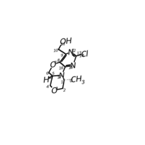 C[C@@H]1COC[C@@H]2COc3c(CO)nc(Cl)nc3N21